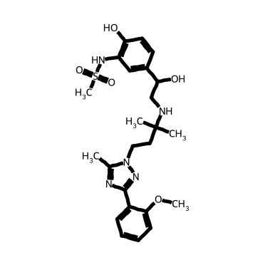 COc1ccccc1-c1nc(C)n(CCC(C)(C)NCC(O)c2ccc(O)c(NS(C)(=O)=O)c2)n1